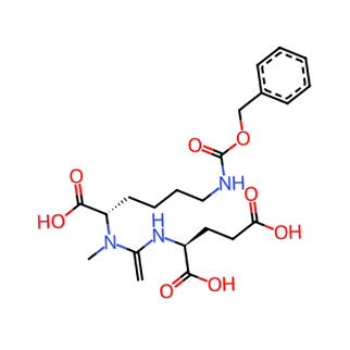 C=C(N[C@@H](CCC(=O)O)C(=O)O)N(C)[C@@H](CCCCNC(=O)OCc1ccccc1)C(=O)O